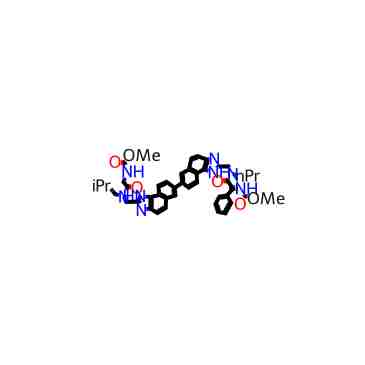 CCCN(Cc1nc2ccc3cc(-c4ccc5c(ccc6nc(CN(CC(C)C)C(=O)CNC(=O)OC)[nH]c65)c4)ccc3c2[nH]1)C(=O)[C@H](NC(=O)OC)c1ccccc1